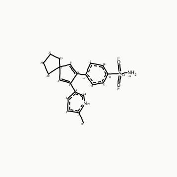 Cc1ccc(C2=CC3(C=C2c2ccc(S(N)(=O)=O)cc2)CCCC3)cn1